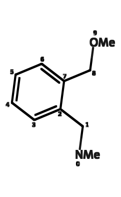 CNCc1ccccc1COC